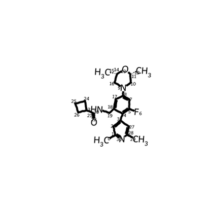 Cc1cc(-c2c(F)cc(N3C[C@@H](C)O[C@@H](C)C3)cc2CNC(=O)C2CCC2)cc(C)n1